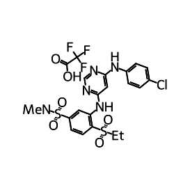 CCS(=O)(=O)c1ccc(S(=O)(=O)NC)cc1Nc1cc(Nc2ccc(Cl)cc2)ncn1.O=C(O)C(F)(F)F